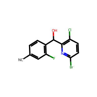 N#Cc1ccc(C(O)c2nc(Br)ccc2Cl)c(F)c1